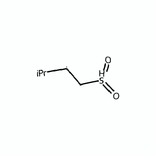 CC(C)[CH]C[SH](=O)=O